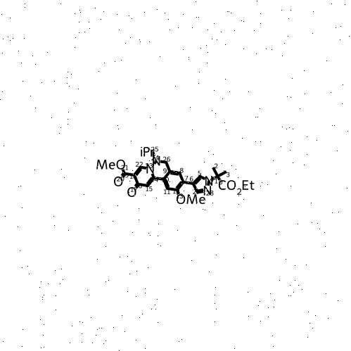 CCOC(=O)C(C)(C)n1cc(-c2cc3c(cc2OC)-c2cc(=O)c(C(=O)OC)cn2N(C(C)C)C3)cn1